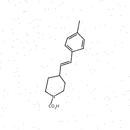 Cc1ccc(C=CC2CCN(C(=O)O)CC2)cc1